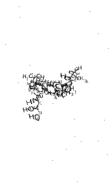 C=C(C)[C@@H]1CC[C@]2(CC(=O)NCC(O)CO)CC[C@]3(C)[C@H](CC[C@@H]4[C@@]5(C)CC[C@H](OC(=O)CC(C)(C)CC(=O)O)C(C)(C)[C@@H]5CC[C@]43C)[C@@H]12